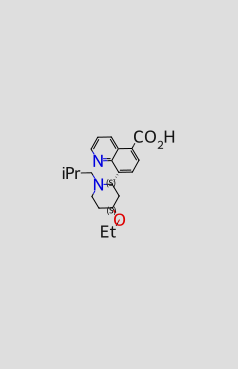 CCO[C@H]1CCN(CC(C)C)[C@H](c2ccc(C(=O)O)c3cccnc23)C1